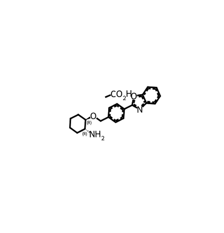 CC(=O)O.N[C@@H]1CCCC[C@H]1OCc1ccc(-c2nc3ccccc3o2)cc1